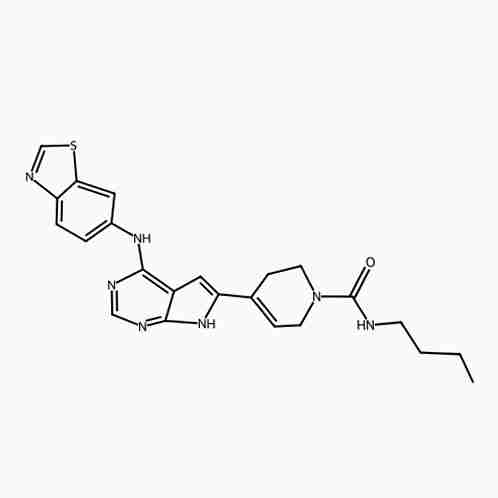 CCCCNC(=O)N1CC=C(c2cc3c(Nc4ccc5ncsc5c4)ncnc3[nH]2)CC1